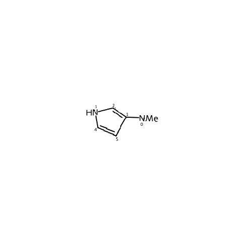 CNc1[c][nH]cc1